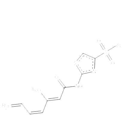 C=C/C=C\C(=C\C(=O)Nc1nc(S(=O)(=O)C(C)C)cs1)OC(C)=O